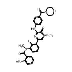 CCCCc1ccccc1C(=O)N(C)c1cccc(-c2cn(C)c(=O)c(Nc3ccc(C(=O)N4CCOCC4)cc3)n2)c1F